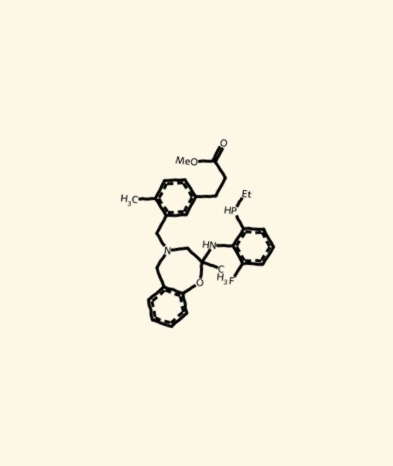 CCPc1cccc(F)c1NC1(C)CN(Cc2cc(CCC(=O)OC)ccc2C)Cc2ccccc2O1